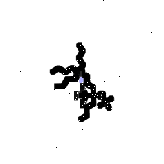 CCCCC(C/C=[CH]/[Sn]([CH2]CCC)([CH2]CCC)[CH2]CCC)(O[Si](C)(C)C)C(F)(F)F